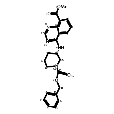 COC(=O)c1cccc2c(N[C@H]3CCCN(C(=O)OCc4ccccc4)C3)ncnc12